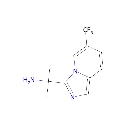 CC(C)(N)c1ncc2ccc(C(F)(F)F)cn12